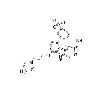 C=CN(/C=C\N)CCCOc1ccc(-c2cccc(S(=O)(=O)CC)c2)c2/c(=C/C(Cl)=C\N)c(=C)[nH]c12